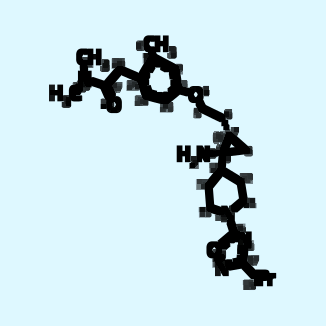 Cc1cc(OCC[C@@H]2C[C@]2(N)C2CCN(c3nc(C(C)C)no3)CC2)ccc1CC(=O)N(C)C